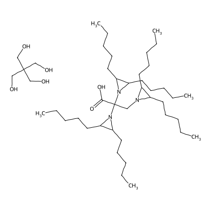 CCCCCC1C(CCCCC)N1CC(C(=O)O)(N1C(CCCCC)C1CCCCC)N1C(CCCCC)C1CCCCC.OCC(CO)(CO)CO